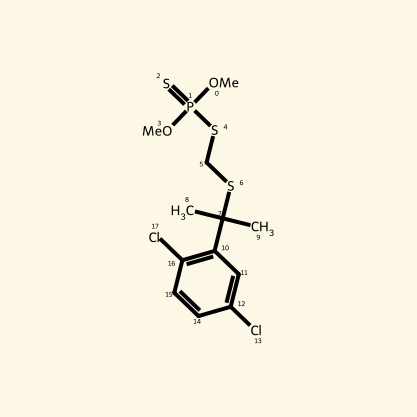 COP(=S)(OC)SCSC(C)(C)c1cc(Cl)ccc1Cl